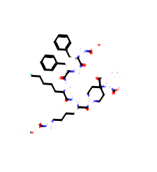 COC(=O)C1(NC(=O)OC(C)(C)C)CCN(C(=O)[C@@H](CCCCNC(=O)OC(C)(C)C)NC(=O)C(CCCCCF)NC(=O)[C@@H](Cc2ccccc2)NC(=O)[C@@H](Cc2ccccc2)NC(=O)OC(C)(C)C)CC1